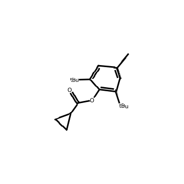 Cc1cc(C(C)(C)C)c(OC(=O)C2CC2)c(C(C)(C)C)c1